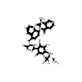 CC[C@@H](Nc1cc(F)c(C(=O)N[C@@H](Cc2ccc(-n3c(=O)c4ccncc4n(C)c3=O)c3ncccc23)C(=O)O)c(F)c1F)C(F)(F)F